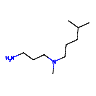 CC(C)CCCN(C)CCCN